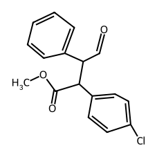 COC(=O)C(c1ccc(Cl)cc1)C(C=O)c1ccccc1